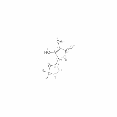 CC(=O)OC1=C(O)[C@@H]([C@@H]2COC(C)(C)O2)OC1=O